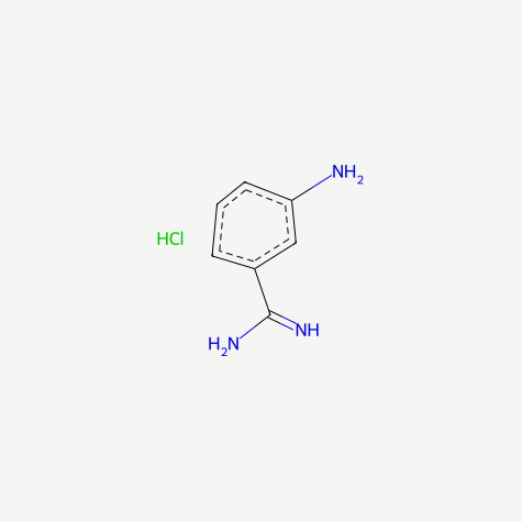 Cl.N=C(N)c1cccc(N)c1